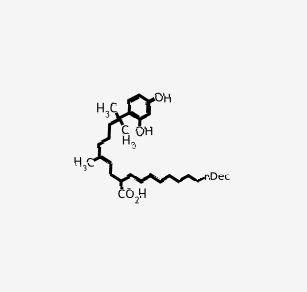 CCCCCCCCCCCCCCCCCCC(CCC(C)CCCC(C)(C)c1ccc(O)cc1O)C(=O)O